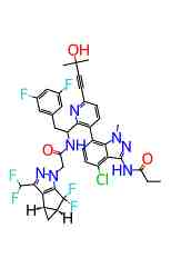 CCC(=O)Nc1nn(C)c2c(-c3ccc(C#CC(C)(C)O)nc3C(Cc3cc(F)cc(F)c3)NC(=O)Cn3nc(C(F)F)c4c3C(F)(F)[C@@H]3C[C@H]43)ccc(Cl)c12